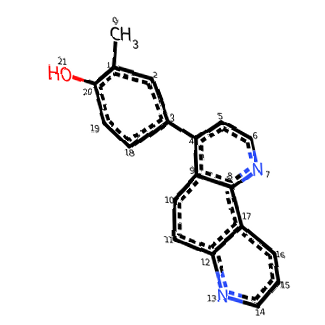 Cc1cc(-c2ccnc3c2ccc2ncccc23)ccc1O